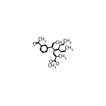 C\C=C/C(CCC)=C(\C=C(/C)C(=O)OC)C(=C\C)/c1cccc(C(C)=O)c1